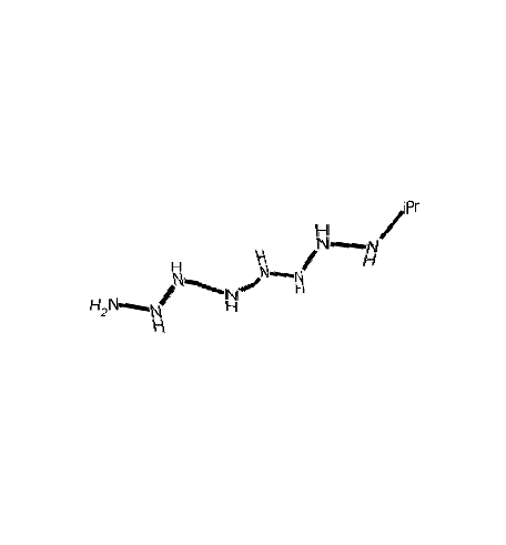 CC(C)NNNNNNNN